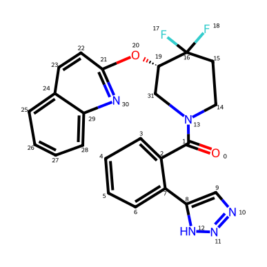 O=C(c1ccccc1-c1cnn[nH]1)N1CCC(F)(F)[C@@H](Oc2ccc3ccccc3n2)C1